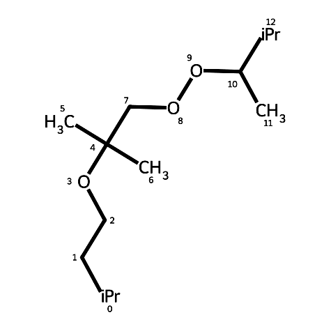 CC(C)CCOC(C)(C)COOC(C)C(C)C